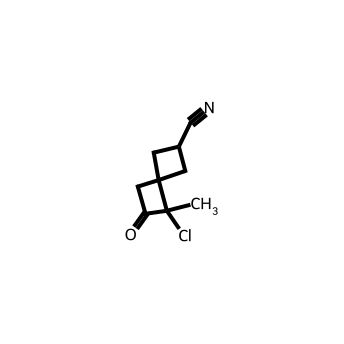 CC1(Cl)C(=O)CC12CC(C#N)C2